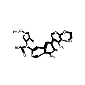 Cc1c(-c2cc3cc(N(C(=O)O)C4CN(C)CC4F)ncc3c(N)c2F)cnc2c1NCCO2